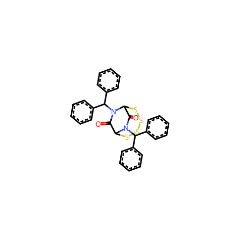 O=C1C2SSSSC(C(=O)N2C(c2ccccc2)c2ccccc2)N1C(c1ccccc1)c1ccccc1